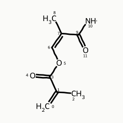 C=C(C)C(=O)OC=C(C)C([NH])=O